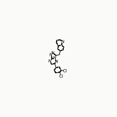 Clc1ccc(-c2cnc3nnc(Cc4ccc5ncccc5c4)n3n2)cc1Cl